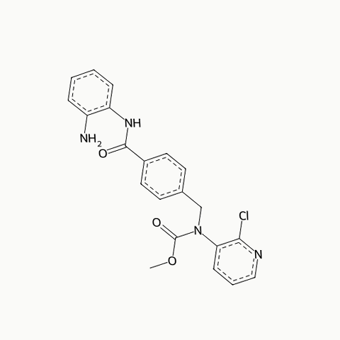 COC(=O)N(Cc1ccc(C(=O)Nc2ccccc2N)cc1)c1cccnc1Cl